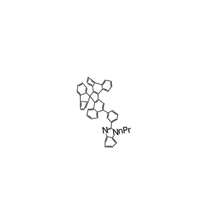 CCCn1c(-c2cccc(-c3cc4c(c5ccccc35)C3(c5ccccc5-c5ccccc53)c3c-4c4ccccc4c4ccccc34)c2)nc2ccccc21